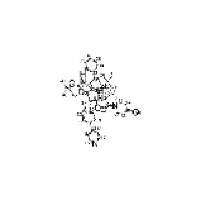 CC(C)C(NC(=O)C(Cc1ccc(-c2ccncc2)cc1)CC(O[Si](C)(C)C(C)(C)C)C(Cc1ccccc1)NC(=O)OC(C)(C)C)C(=O)N1CCC(=O)CC1